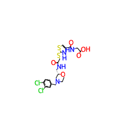 O=C(O)CNC(=O)C1=CSC(SCC(=O)NC[C@H]2CN(Cc3ccc(Cl)c(Cl)c3)CCO2)N1